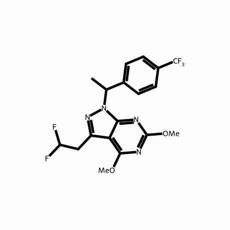 COc1nc(OC)c2c(CC(F)F)nn(C(C)c3ccc(C(F)(F)F)cc3)c2n1